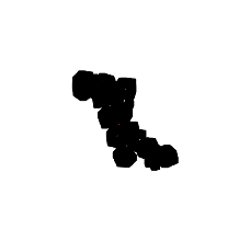 Cc1cc(-c2ccc(N(c3ccc4c(c3)C(C)(C)c3ccccc3-4)c3ccccc3-c3ccc(-c4ccccc4)cc3)c(C)c2)ccc1N(c1ccc2c(c1)C(C)(C)c1ccccc1-2)c1ccccc1-c1ccc(-c2ccccc2)cc1